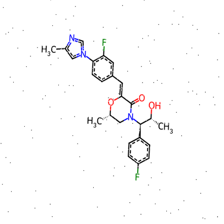 Cc1cn(-c2ccc(C=C3O[C@@H](C)CN([C@H](c4ccc(F)cc4)[C@@H](C)O)C3=O)cc2F)cn1